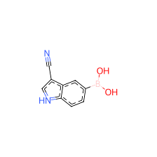 N#Cc1c[nH]c2ccc(B(O)O)cc12